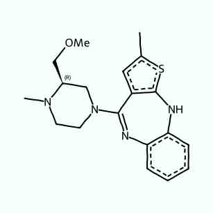 COC[C@H]1CN(C2=Nc3ccccc3Nc3sc(C)cc32)CCN1C